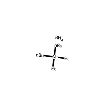 CCCC[N+](CC)(CC)CCCC.[BH4-]